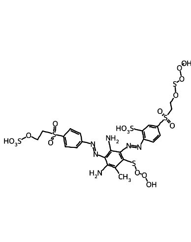 Cc1c(N)c(/N=N/c2ccc(S(=O)(=O)CCOS(=O)(=O)O)cc2)c(N)c(/N=N/c2ccc(S(=O)(=O)CCOSOOO)cc2S(=O)(=O)O)c1SOOO